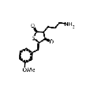 COc1cccc(/C=C2\SC(=O)C(CCCN)C2=O)c1